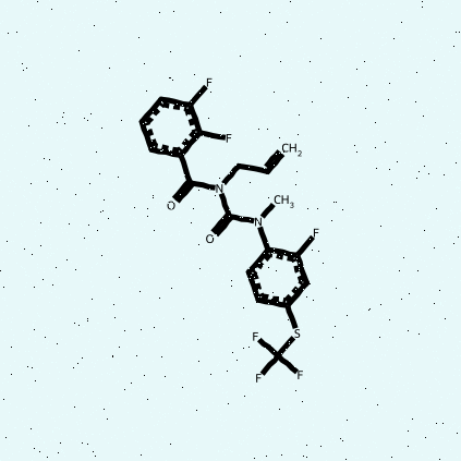 C=CCN(C(=O)c1cccc(F)c1F)C(=O)N(C)c1ccc(SC(F)(F)F)cc1F